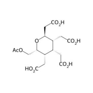 CC(=O)OC[C@@H]1O[C@@H](CC(=O)O)[C@H](CC(=O)O)[C@H](CC(=O)O)[C@@H]1CC(=O)O